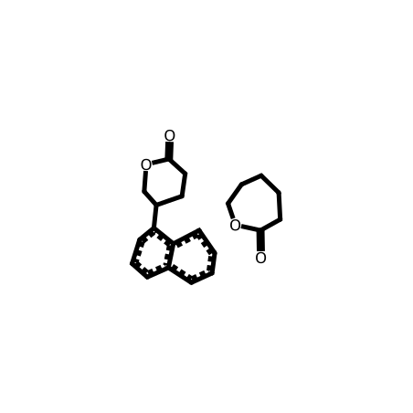 O=C1CCC(c2cccc3ccccc23)CO1.O=C1CCCCCO1